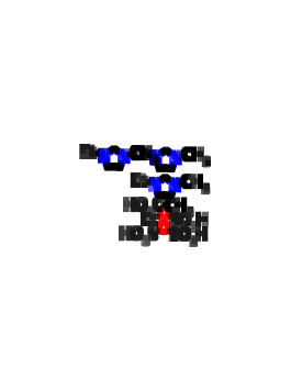 CC(=O)O.CCN1C=CN(C)C1.CCN1C=CN(C)C1.CCN1C=CN(C)C1.CCOS(=O)(=O)O.O=S(=O)(O)OS(=O)(=O)O